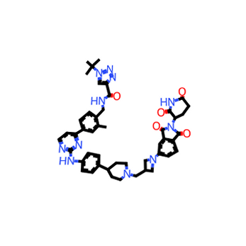 Cc1cc(-c2ccnc(Nc3ccc(C4CCN(CC5CN(c6ccc7c(c6)C(=O)N(C6CCC(=O)NC6=O)C7=O)C5)CC4)cc3)n2)ccc1CNC(=O)c1cn(C(C)(C)C)nn1